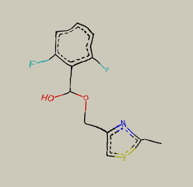 Cc1nc(COC(O)c2c(F)cccc2F)cs1